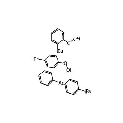 CC(=O)c1ccccc1.CC(C)c1ccc(OO)cc1.CCC(C)c1ccccc1.CCC(C)c1ccccc1OO